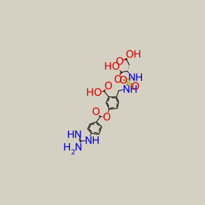 N=C(N)Nc1ccc(C(=O)Oc2ccc(CNS(=O)(=O)N[C@@H](CC(=O)O)C(=O)O)c(C(=O)O)c2)cc1